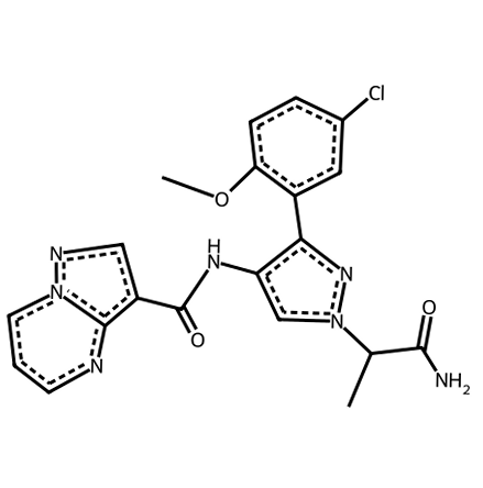 COc1ccc(Cl)cc1-c1nn(C(C)C(N)=O)cc1NC(=O)c1cnn2cccnc12